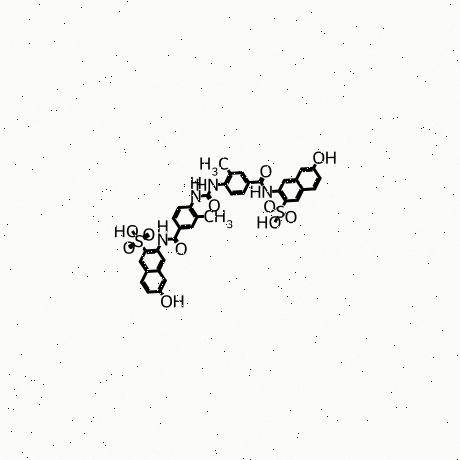 Cc1cc(C(=O)Nc2cc3cc(O)ccc3cc2S(=O)(=O)O)ccc1NC(=O)Nc1ccc(C(=O)Nc2cc3cc(O)ccc3cc2S(=O)(=O)O)cc1C